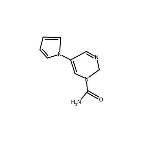 NC(=O)N1C=C(n2cccc2)C=NC1